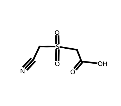 N#CCS(=O)(=O)CC(=O)O